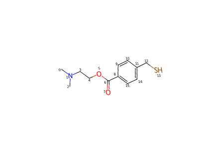 CN(C)CCOC(=O)c1ccc(CS)cc1